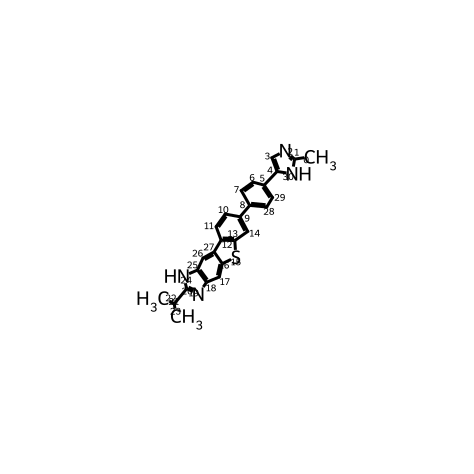 Cc1ncc(-c2ccc(-c3ccc4c(c3)sc3cc5nc(C(C)C)[nH]c5cc34)cc2)[nH]1